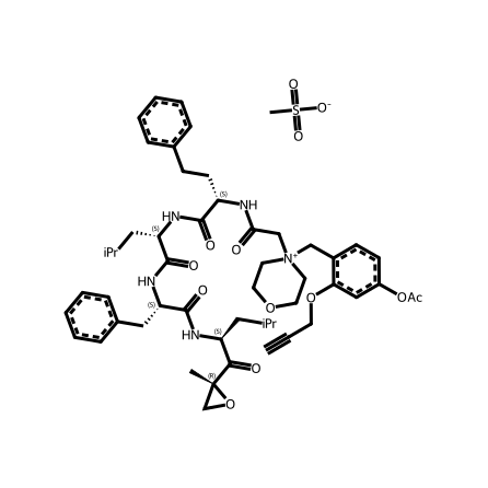 C#CCOc1cc(OC(C)=O)ccc1C[N+]1(CC(=O)N[C@@H](CCc2ccccc2)C(=O)N[C@@H](CC(C)C)C(=O)N[C@@H](Cc2ccccc2)C(=O)N[C@@H](CC(C)C)C(=O)[C@@]2(C)CO2)CCOCC1.CS(=O)(=O)[O-]